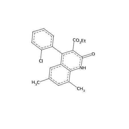 CCOC(=O)c1c(-c2ccccc2Cl)c2cc(C)cc(C)c2[nH]c1=O